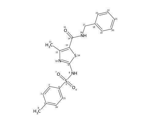 Cc1ccc(S(=O)(=O)Nc2nc(C)c(C(=O)NCc3ccccc3)s2)cc1